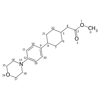 COC(=O)CC1CCC(c2ccc(N3CCOCC3)cc2)CC1